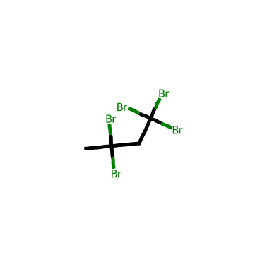 CC(Br)(Br)CC(Br)(Br)Br